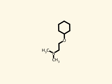 CN(C)CCOC1CCCCC1